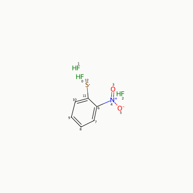 F.F.F.O=[N+]([O-])c1ccccc1[S]